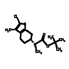 Cc1c(Cl)sc2c1CC[C@@H](N(C)C(=O)OC(C)(C)C)C2